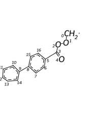 [CH2]OOC(=O)c1ccc(-c2ccccc2)cc1